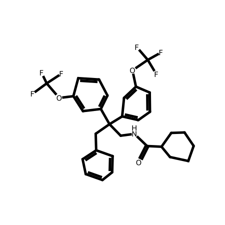 O=C(NCC(Cc1ccccc1)(c1cccc(OC(F)(F)F)c1)c1cccc(OC(F)(F)F)c1)C1CCCCC1